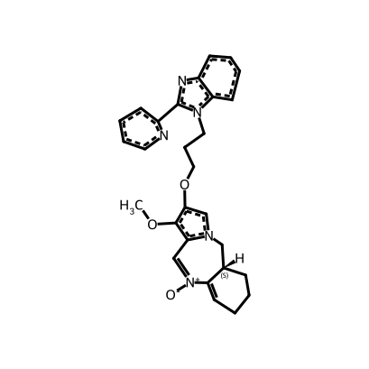 COc1c(OCCCn2c(-c3ccccn3)nc3ccccc32)cn2c1C=[N+]([O-])C1=CCCC[C@H]1C2